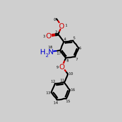 COC(=O)c1cccc(OCc2ccccc2)c1N